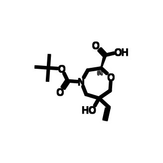 C=CC1(O)CO[C@H](C(=O)O)CN(C(=O)OC(C)(C)C)C1